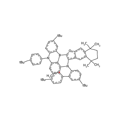 Cc1cc2c3c(c1)N(c1ccc(C(C)(C)C)cc1-c1ccc(C(C)(C)C)cc1)c1c(oc4cc5c(cc14)C(C)(C)CCC5(C)C)B3c1cc(C(C)(C)C)ccc1N2c1ccc(C(C)(C)C)cc1